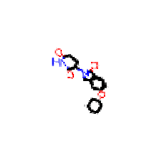 O=C1CCC(N2Cc3cc(O[C@H]4C[CH]CCC4)ccc3C2=O)C(=O)N1